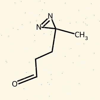 CC1(CCC=O)N=N1